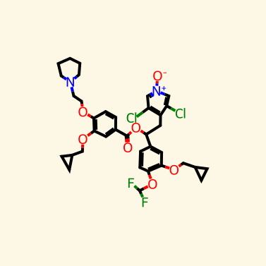 O=C(OC(Cc1c(Cl)c[n+]([O-])cc1Cl)c1ccc(OC(F)F)c(OCC2CC2)c1)c1ccc(OCCN2CCCCC2)c(OCC2CC2)c1